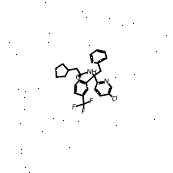 O=C(CC1CCCC1)NC(Cc1ccccc1)(c1cccc(C(F)(F)F)c1)c1ccc(Cl)cn1